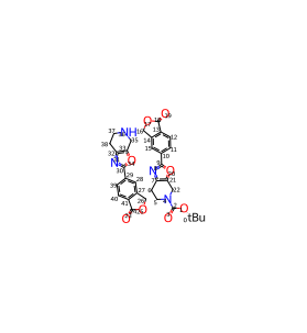 CC(C)(C)OC(=O)N1CCc2nc(-c3ccc4c(c3)COC4=O)oc2C1.O=C1OCc2cc(-c3nc4c(o3)CNCC4)ccc21